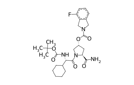 CC(C)(C)OC(=O)N[C@H](C(=O)N1C[C@H](OC(=O)N2Cc3cccc(F)c3C2)C[C@H]1C(N)=O)C1CCCCC1